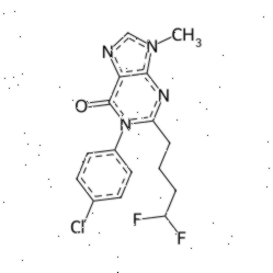 Cn1cnc2c(=O)n(-c3ccc(Cl)cc3)c(CCCC(F)F)nc21